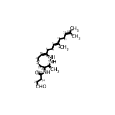 C=C1NN/C(CC/C=C(\C)CCC=C(C)C)=C\CSCC1NC(=O)CCC=O